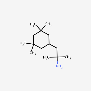 CC(C)(N)CC1CC(C)(C)CC(C)(C)C1